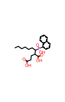 CCCCCCC(C(CCC(=O)O)C(=O)O)P(=O)(O)c1cccc2ccccc12